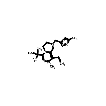 CCC1=C2CN(Cc3cc(C)on3)CCN2C(C(C)(C)C)=N[C@H]1C